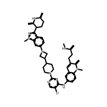 C=C(CCC1=Cc2cc(Nc3nc(N4CCC(C5CN(c6ccc7c(C8CCC(=C)NC8=C)nn(C)c7c6)C5)CC4)ncc3Cl)ccc2N(C)C1=C)NC